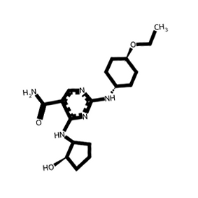 CCO[C@H]1CC[C@H](Nc2ncc(C(N)=O)c(NC3CCC[C@H]3O)n2)CC1